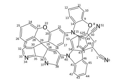 N#Cc1ccc2c(c1)Oc1ccccc1N2c1ccc2c(c1)Oc1ccccc1C21c2cccnc2-c2ncc(-n3c4ccccc4c4cc(C#N)ccc43)cc21